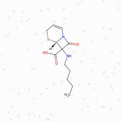 CCCCCNC1(C(=O)O)C(=O)N2C=CCS[C@H]21